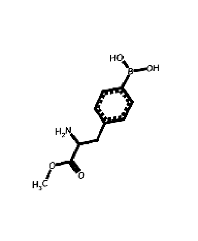 COC(=O)C(N)Cc1ccc(B(O)O)cc1